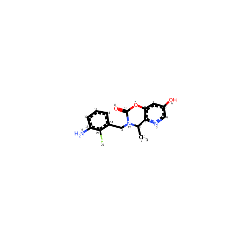 CC1c2ncc(O)cc2OC(=O)N1Cc1cccc(N)c1F